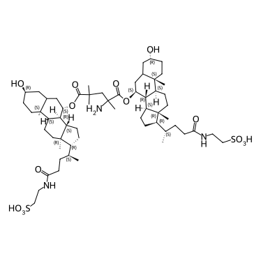 C[C@@H](CCC(=O)NCCS(=O)(=O)O)[C@H]1CC[C@H]2[C@@H]3[C@@H](OC(=O)C(C)(C)CC(C)(N)C(=O)O[C@H]4CC5C[C@H](O)CC[C@]5(C)[C@H]5CC[C@]6(C)[C@@H]([C@@H](C)CCC(=O)NCCS(=O)(=O)O)CC[C@H]6[C@H]45)CC4C[C@H](O)CC[C@]4(C)[C@H]3CC[C@]12C